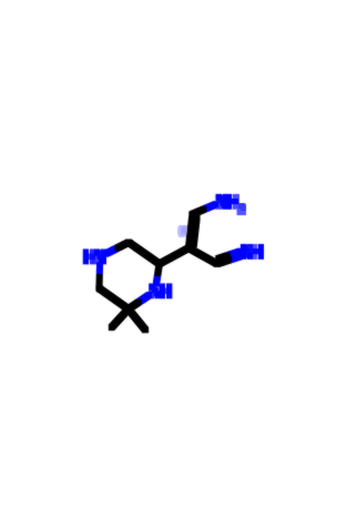 CC1(C)CNCC(/C(C=N)=C/N)N1